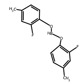 Cc1ccc(OBOc2ccc(C)cc2F)c(F)c1